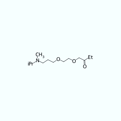 CCC(=O)COCCOCCCN(C)C(C)C